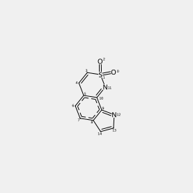 O=S1(=O)C=Cc2ccc3c(c2=N1)=NC=C3